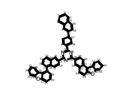 c1ccc2cc(-c3ccc(-c4nc(-c5ccc6c(-c7cccc8oc9ccccc9c78)cccc6c5)nc(-c5ccc6c(ccc7oc8ccccc8c76)c5)n4)cc3)ccc2c1